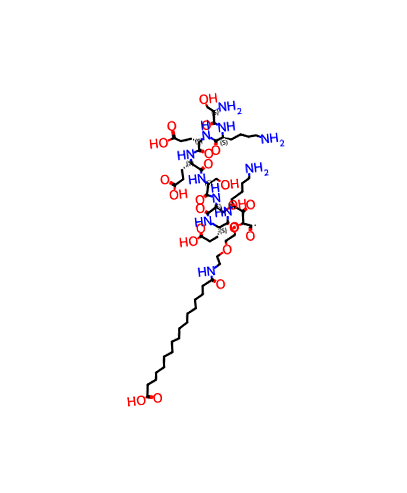 NCCCC[C@H](NC(=O)[C@@H](N)CO)C(=O)N[C@@H](CCC(=O)O)C(=O)N[C@@H](CCC(=O)O)C(=O)N[C@@H](CO)C(=O)N[C@@H](CO)C(=O)N[C@@H](CCC(=O)O)C(=O)N[C@@H](CCCCN)C(=O)C([C]=O)OCCOCCNC(=O)CCCCCCCCCCCCCCCC(=O)O